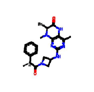 Cc1nc(NC2CN(C(=O)[C@H](C)c3ccccc3)C2)nc2c1NC(=O)C(C(C)C)N2C